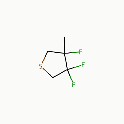 CC1(F)CSCC1(F)F